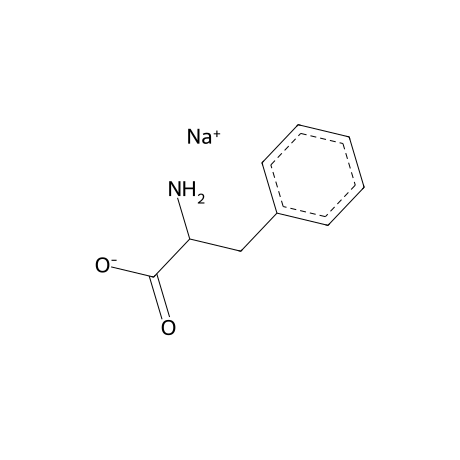 NC(Cc1ccccc1)C(=O)[O-].[Na+]